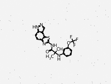 CC(C)(Nc1cccc(OC(F)(F)F)c1)C(=O)Nc1nc2ccc3[nH]ncc3c2s1